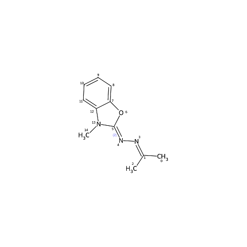 CC(C)=N/N=c1\oc2ccccc2n1C